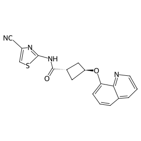 N#Cc1csc(NC(=O)[C@H]2C[C@H](Oc3cccc4cccnc34)C2)n1